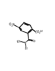 CCN(CC)C(=O)c1cc([N+](=O)[O-])ccc1C(=O)O